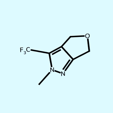 Cn1nc2c(c1C(F)(F)F)COC2